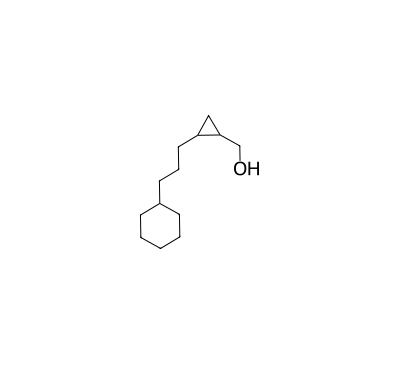 OCC1CC1CCCC1CCCCC1